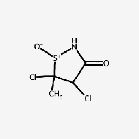 CC1(Cl)C(Cl)C(=O)N[S+]1[O-]